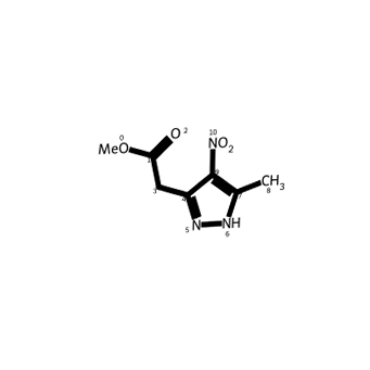 COC(=O)Cc1n[nH]c(C)c1[N+](=O)[O-]